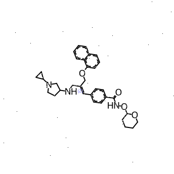 O=C(NOC1CCCCO1)c1ccc(/C=C(/CNC2CCN(C3CC3)C2)COc2cccc3ccccc23)cc1